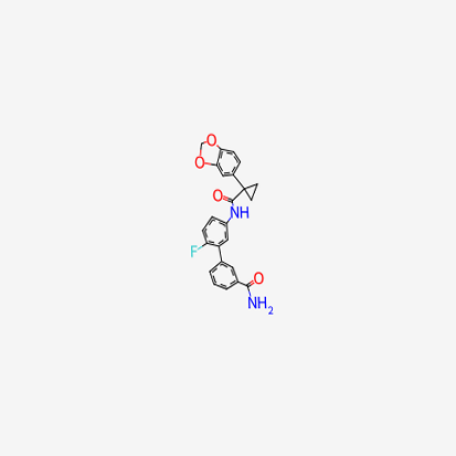 NC(=O)c1cccc(-c2cc(NC(=O)C3(c4ccc5c(c4)OCO5)CC3)ccc2F)c1